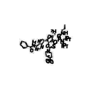 [2H]C[C@H]1O[C@@H](C2C=Nc3c(NC(=O)c4ccccc4)ncnc32)C(OC(=S)N2CCS(=O)(=O)CC2)[C@H]1OP(ONCC=C)N(C(C)C)C(C)C